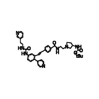 CC(C)(C)OC(=O)NC1CCN(CCNC(=O)c2ccc(C#Cc3cc(NC(=O)NCCc4cccnc4)ccc3-c3ccncc3)cc2)C1